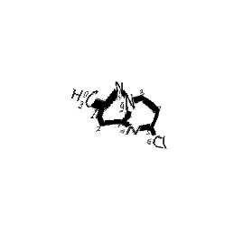 Cc1cc2nc(Cl)ccn2n1